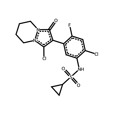 O=c1c(-c2cc(NS(=O)(=O)C3CC3)c(Cl)cc2F)c(Cl)n2n1CCCC2